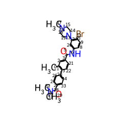 Cc1cc(C(=O)Nc2ccc(Br)c(N3CCN(C)CC3)c2)ccc1-c1ccc(C(=O)N(C)C)cc1